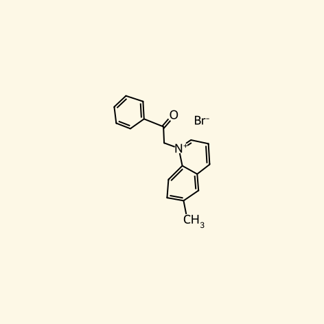 Cc1ccc2c(ccc[n+]2CC(=O)c2ccccc2)c1.[Br-]